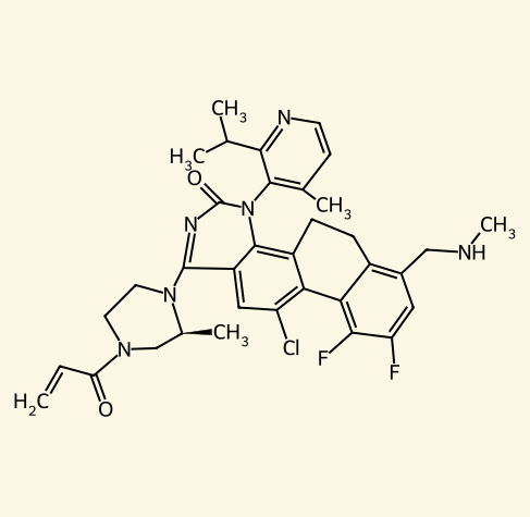 C=CC(=O)N1CCN(c2nc(=O)n(-c3c(C)ccnc3C(C)C)c3c4c(c(Cl)cc23)-c2c(F)c(F)cc(CNC)c2CC4)[C@@H](C)C1